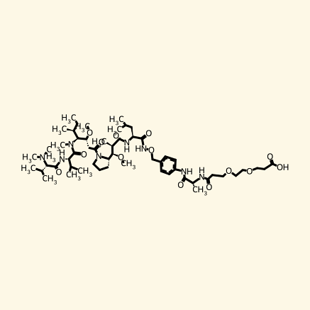 CC[C@H](C)[C@@H]([C@@H](CC(=O)N1CCC[C@H]1[C@H](OC)[C@@H](C)C(=O)N[C@@H](CC(C)C)C(=O)NOCc1ccc(NC(=O)[C@@H](C)NC(=O)CCOCCOCCC(=O)O)cc1)OC)N(C)C(=O)[C@@H](NC(=O)[C@H](C(C)C)N(C)C)C(C)C